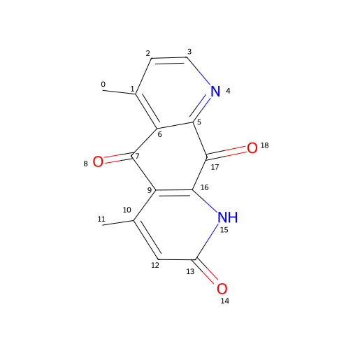 Cc1ccnc2c1C(=O)c1c(C)cc(=O)[nH]c1C2=O